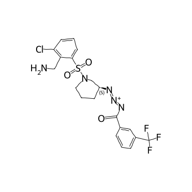 NCc1c(Cl)cccc1S(=O)(=O)N1CCC[C@H](N=[N+]=NC(=O)c2cccc(C(F)(F)F)c2)C1